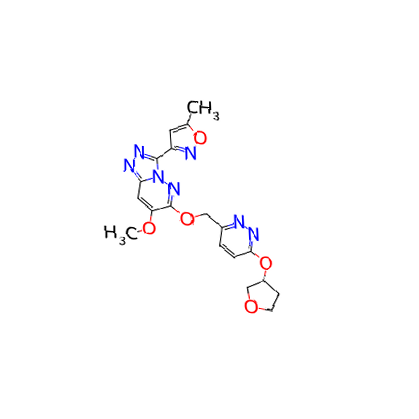 COc1cc2nnc(-c3cc(C)on3)n2nc1OCc1ccc(OC2CCOC2)nn1